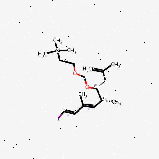 C=C(C)C[C@@H](OCOCC[Si](C)(C)C)[C@H](C)/C=C(C)/C=C/I